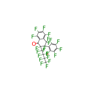 O=C1c2c(F)c(F)c(F)c(F)c2C(F)(F)C(F)(c2c(F)c(F)c(F)c(F)c2F)C1(F)C(F)(F)C(F)(F)C(F)(F)C(F)(F)F